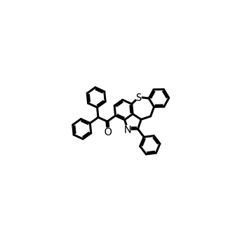 O=C(c1ccc2c3c1N=C(c1ccccc1)C3Cc1ccccc1S2)C(c1ccccc1)c1ccccc1